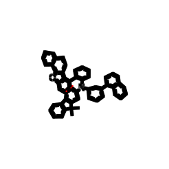 CC1(C)c2ccccc2-c2ccc(N(c3cccc(-c4cccc5ccccc45)c3)c3ccccc3-c3cccc4oc5c6ccccc6ccc5c34)cc21